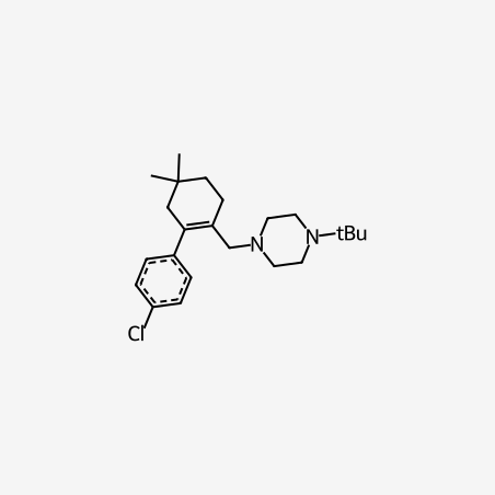 CC1(C)CCC(CN2CCN(C(C)(C)C)CC2)=C(c2ccc(Cl)cc2)C1